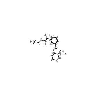 CCCNC(C)c1cccc(OCC2CCCCC2C)c1